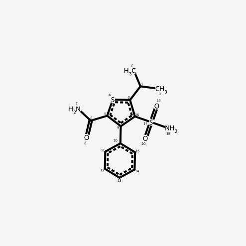 CC(C)c1sc(C(N)=O)c(-c2ccccc2)c1S(N)(=O)=O